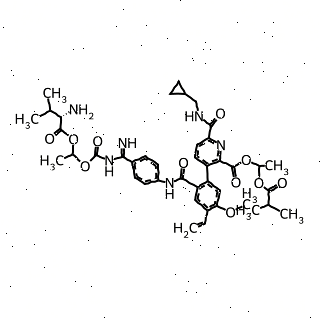 C=Cc1cc(C(=O)Nc2ccc(C(=N)NC(=O)OC(C)OC(=O)[C@@H](N)C(C)C)cc2)c(-c2ccc(C(=O)NCC3CC3)nc2C(=O)OC(C)OC(=O)C(C)C)cc1OC